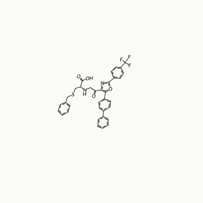 O=C(CNC(CSCc1ccccc1)C(=O)O)c1nc(-c2ccc(C(F)(F)F)cc2)oc1-c1ccc(-c2ccccc2)cc1